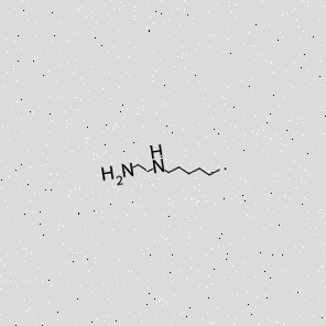 [CH2]CCCCCNCCN